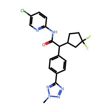 Cn1nnc(-c2ccc(C(C(=O)Nc3ccc(Cl)cn3)C3CCC(F)(F)C3)cc2)n1